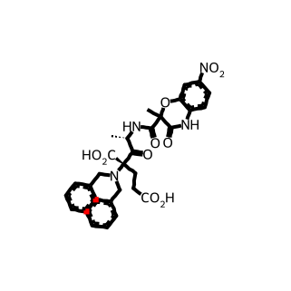 C[C@H](NC(=O)C1(C)Oc2cc([N+](=O)[O-])ccc2NC1=O)C(=O)[C@@](CCC(=O)O)(C(=O)O)N(Cc1ccccc1)Cc1ccccc1